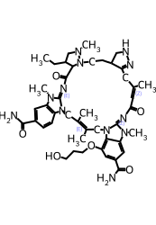 CCC1CN(C)N2CCC3CNN=C3C/C(C)=C\C(=O)/N=C3/N(C)c4cc(C(N)=O)cc(OCCCO)c4N3C/C(C)=C(\C)CN3/C(=N/C(=O)C12)N(C)c1cc(C(N)=O)ccc13